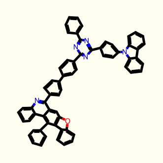 c1ccc(-c2nc(-c3ccc(-c4ccc(-c5nc6ccccc6c6c(-c7ccccc7)c7c(cc56)oc5ccccc57)cc4)cc3)nc(-c3ccc(-n4c5ccccc5c5ccccc54)cc3)n2)cc1